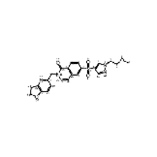 COCCn1cc(S(=O)(=O)c2ccc3c(=O)n(Cc4ccc5c(n4)CCO5)ncc3c2)cn1